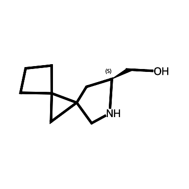 OC[C@@H]1CC2(CN1)CC21CCC1